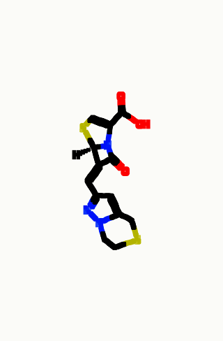 O=C(O)C1=CS[C@@H]2C(=Cc3cc4n(n3)CCSC4)C(=O)N12